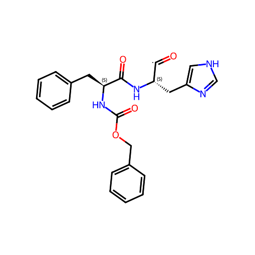 O=[C][C@H](Cc1c[nH]cn1)NC(=O)[C@H](Cc1ccccc1)NC(=O)OCc1ccccc1